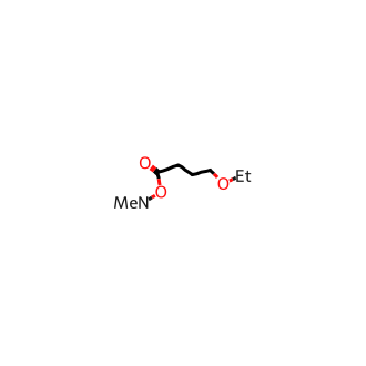 CCOCCCC(=O)ONC